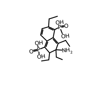 CCC1=c2c(P(=O)(O)O)c(CC)ccc2=C(P(=O)(O)O)C(CC)C1(N)CC